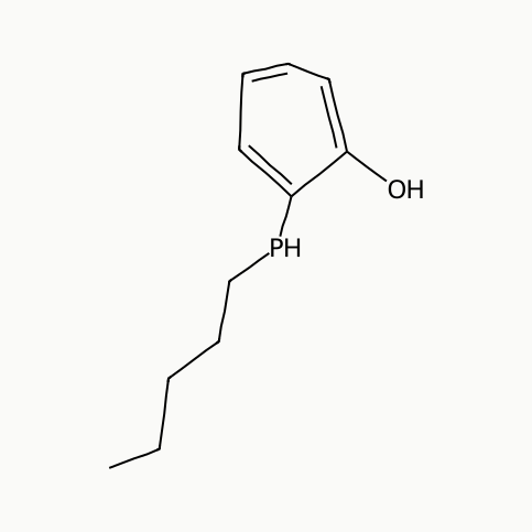 CCCCCPc1ccccc1O